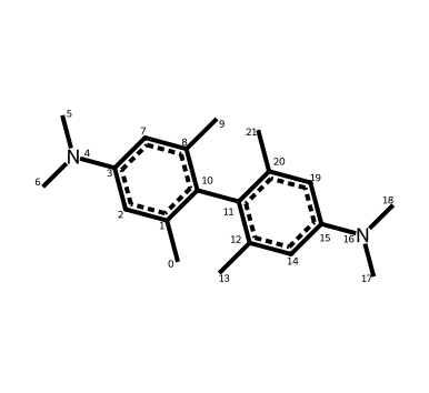 Cc1cc(N(C)C)cc(C)c1-c1c(C)cc(N(C)C)cc1C